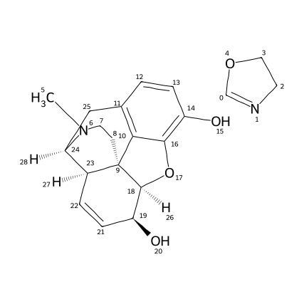 C1=NCCO1.CN1CC[C@]23c4c5ccc(O)c4O[C@H]2[C@@H](O)C=C[C@H]3[C@H]1C5